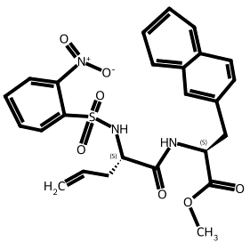 C=CC[C@H](NS(=O)(=O)c1ccccc1[N+](=O)[O-])C(=O)N[C@@H](Cc1ccc2ccccc2c1)C(=O)OC